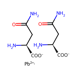 NC(=O)C[C@H](N)C(=O)[O-].NC(=O)C[C@H](N)C(=O)[O-].[Pb+2]